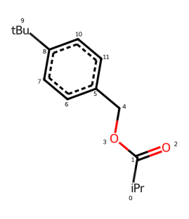 CC(C)C(=O)OCc1ccc(C(C)(C)C)cc1